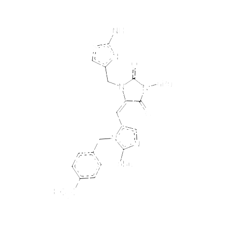 CCCCc1ncc(/C=C2\C(=O)N(CCCC)C(=O)N2Cc2csc(N)n2)n1Cc1ccc(C(=O)O)cc1